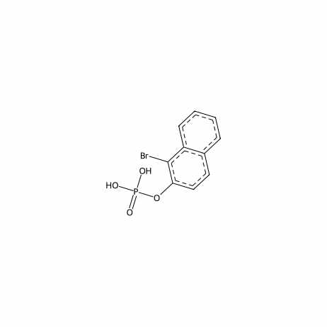 O=P(O)(O)Oc1ccc2ccccc2c1Br